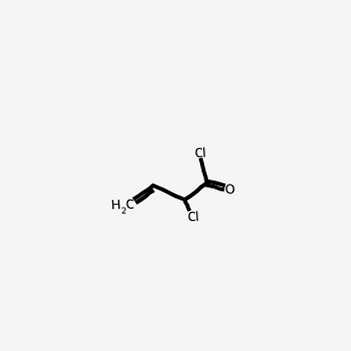 C=CC(Cl)C(=O)Cl